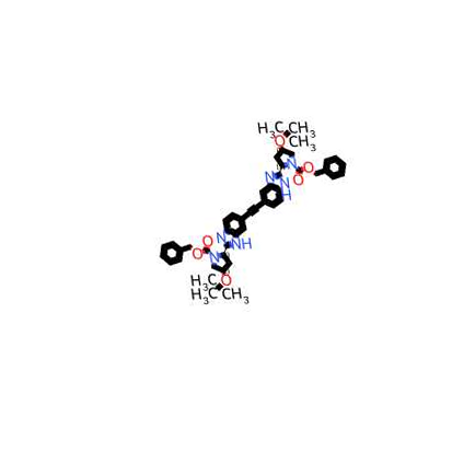 CC(C)(C)O[C@@H]1C[C@@H](c2nc3cc(C#Cc4ccc5nc([C@@H]6C[C@@H](OC(C)(C)C)CN6C(=O)OCc6ccccc6)[nH]c5c4)ccc3[nH]2)N(C(=O)OCc2ccccc2)C1